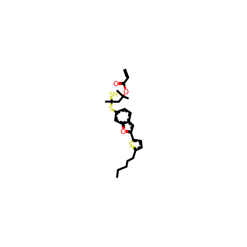 C=CC(=O)OC(C)(C)CC(C)(S)Sc1ccc2cc(-c3ccc(CCCCC)s3)oc2c1